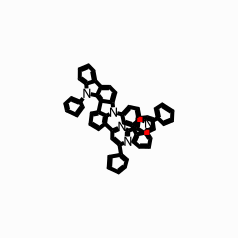 c1ccc(-c2cc(-c3cccc4c5c(ccc6c7ccccc7n(-c7ccccc7)c65)n(-c5ccc6c(c5)c5ccccc5n6-c5ccccc5)c34)nc(-c3ccccc3)n2)cc1